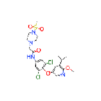 COc1ncc(Oc2c(Cl)cc(NC(=O)CN3CCN(S(C)(=O)=O)CC3)cc2Cl)cc1C(C)C